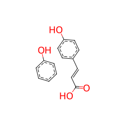 O=C(O)C=Cc1ccc(O)cc1.Oc1ccccc1